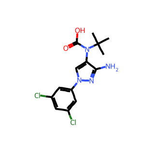 CC(C)(C)N(C(=O)O)c1cn(-c2cc(Cl)cc(Cl)c2)nc1N